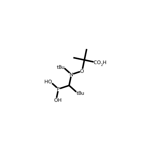 CC(C)(ON(C(P(O)O)C(C)(C)C)C(C)(C)C)C(=O)O